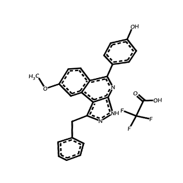 COc1ccc2c(-c3ccc(O)cc3)nc3[nH]nc(Cc4ccccc4)c3c2c1.O=C(O)C(F)(F)F